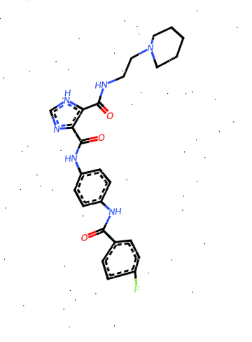 O=C(Nc1ccc(NC(=O)c2nc[nH]c2C(=O)NCCN2CCCCC2)cc1)c1ccc(F)cc1